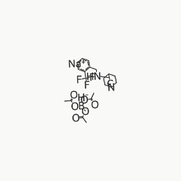 CC(=O)O[BH-](OC(C)=O)OC(C)=O.FC(F)(F)c1ccccc1CNC1CN2CCC1CC2.[Na+]